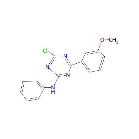 COc1cccc(-c2nc(Cl)nc(Nc3ccccc3)n2)c1